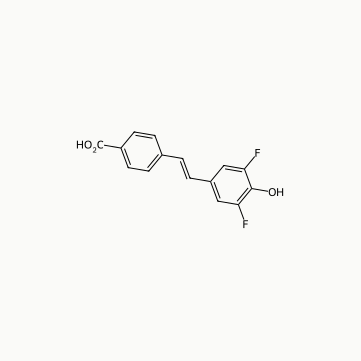 O=C(O)c1ccc(C=Cc2cc(F)c(O)c(F)c2)cc1